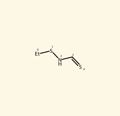 CCSN[C]=S